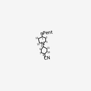 CCCCCC1CCN(C2CCC(C#N)CC2)CC1